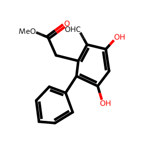 COC(=O)Cc1c(C=O)c(O)cc(O)c1-c1ccccc1